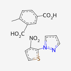 Cc1ccc(C(=O)O)cc1C(=O)O.O=[N+]([O-])c1ccsc1-n1cccn1